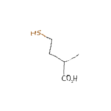 CC(CCS)C(=O)O